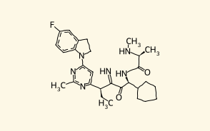 CC[C@H](C(=N)C(=O)[C@@H](NC(=O)[C@H](C)NC)C1CCCCC1)c1cc(N2CCc3cc(F)ccc32)nc(C)n1